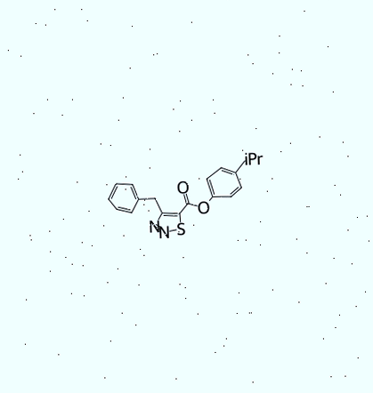 CC(C)c1ccc(OC(=O)c2snnc2Cc2ccccc2)cc1